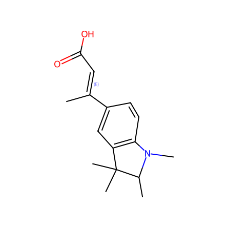 C/C(=C\C(=O)O)c1ccc2c(c1)C(C)(C)C(C)N2C